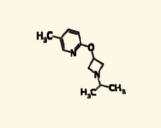 Cc1ccc(OC2CN(C(C)C)C2)nc1